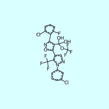 OC(O)(OC(F)(F)F)c1c(-c2c(F)cccc2Cl)noc1-c1cnn(-c2cccc(Cl)c2)c1C(F)(F)F